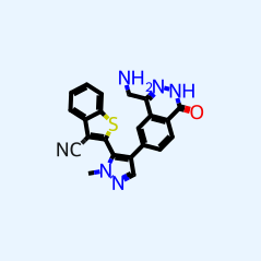 Cn1ncc(-c2ccc3c(=O)[nH]nc(CN)c3c2)c1-c1sc2ccccc2c1C#N